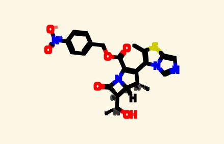 Cc1sc2cncn2c1C1=C(C(=O)OCc2ccc([N+](=O)[O-])cc2)N2C(=O)[C@H]([C@@H](C)O)[C@H]2[C@H]1C